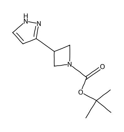 CC(C)(C)OC(=O)N1CC(c2cc[nH]n2)C1